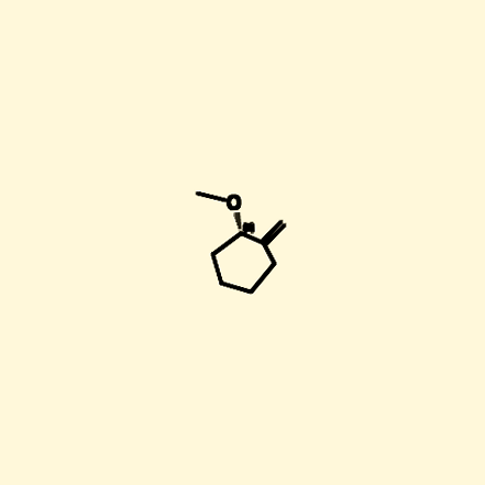 C=C1CCCC[C@@H]1OC